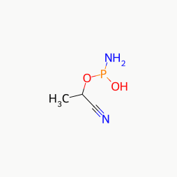 CC(C#N)OP(N)O